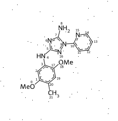 COc1cc(Nc2nc(N)n(-c3ccccn3)n2)c(OC)cc1C